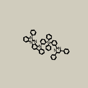 c1ccc(-c2cc(-c3ccccc3)nc(-c3cccc([Si](c4ccccc4)(c4ccccc4)c4cccc(-n5c6ccccc6c6ccc7c(nc8n(-c9ccccc9)c9ccccc9n78)c65)c4)c3)n2)cc1